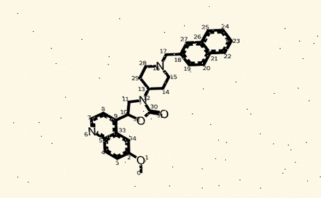 COc1ccc2nccc(C3CN(C4CCN(Cc5ccc6ccccc6c5)CC4)C(=O)O3)c2c1